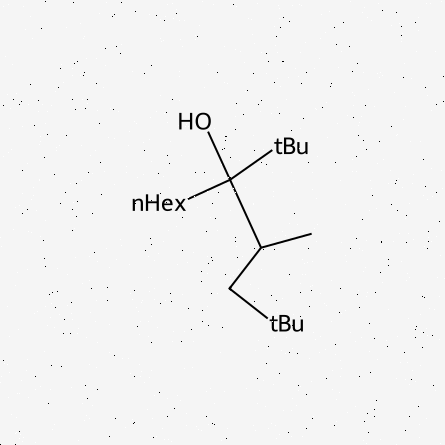 CCCCCCC(O)(C(C)CC(C)(C)C)C(C)(C)C